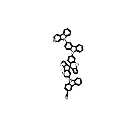 N#Cc1ccc2c(c1)c1ccccc1n2-c1cnc2c(c1)C1(c3ccccc3Oc3cc(-n4c5ccccc5c5cc(-n6c7ccccc7c7ccncc76)ccc54)ccc31)c1cccnc1-2